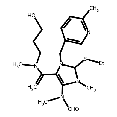 C=C(C1=C(N(C)C=O)N(C)C(SCC)N1Cc1ccc(C)nc1)N(C)CCCO